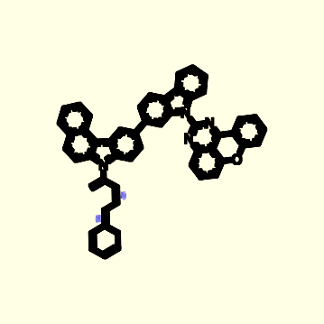 C=C(/C=C\C=C1\C=CC=CC1)n1c2ccc(-c3ccc4c5ccccc5n(-c5nc6c7c(cccc7n5)Oc5ccccc5-6)c4c3)cc2c2c3ccccc3ccc21